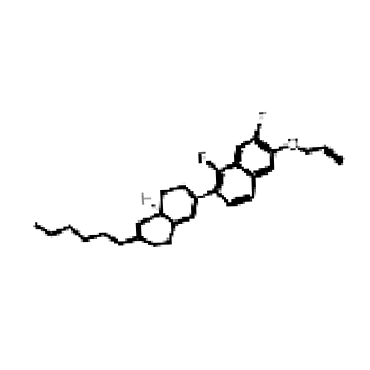 C=CCOc1cc2ccc([C@@H]3CC[C@@H]4CC(CCCCCC)CCC4C3)c(F)c2cc1F